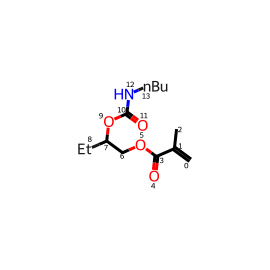 C=C(C)C(=O)OCC(CC)OC(=O)NCCCC